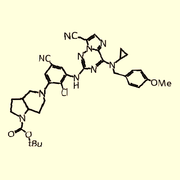 COc1ccc(CN(c2nc(Nc3cc(C#N)cc(N4CCC5C(CCN5C(=O)OC(C)(C)C)C4)c3Cl)nn3c(C#N)cnc23)C2CC2)cc1